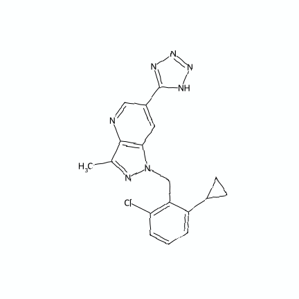 Cc1nn(Cc2c(Cl)cccc2C2CC2)c2cc(-c3nnn[nH]3)cnc12